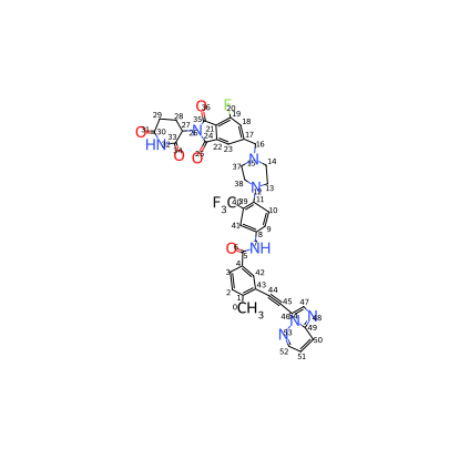 Cc1ccc(C(=O)Nc2ccc(N3CCN(Cc4cc(F)c5c(c4)C(=O)N(C4CCC(=O)NC4=O)C5=O)CC3)c(C(F)(F)F)c2)cc1C#Cc1cnc2cccnn12